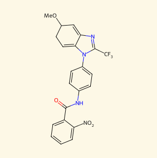 COC1C=c2nc(C(F)(F)F)n(-c3ccc(NC(=O)c4ccccc4[N+](=O)[O-])cc3)c2=CC1